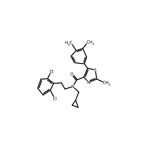 Cc1nc(C(=O)N(CCc2c(Cl)cccc2Cl)CC2CC2)c(-c2ccc(C)c(C)c2)s1